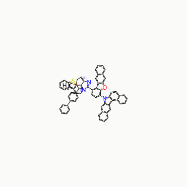 CC1C/C=C(c2cccc3c2sc2ccccc23)/N=C(c2ccc(-n3c4cc5ccccc5cc4c4c5ccccc5ccc43)c3oc4cc5ccccc5cc4c23)\N=C/1c1ccc(-c2ccccc2)cc1